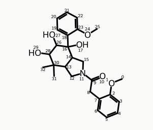 COc1ccccc1CC(=O)N1CC2C(C1)C(O)(c1ccccc1OC)C(O)C(O)C2(C)C